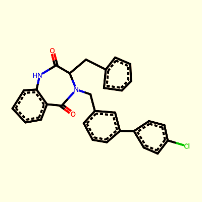 O=C1Nc2ccccc2C(=O)N(Cc2cccc(-c3ccc(Cl)cc3)c2)C1Cc1ccccc1